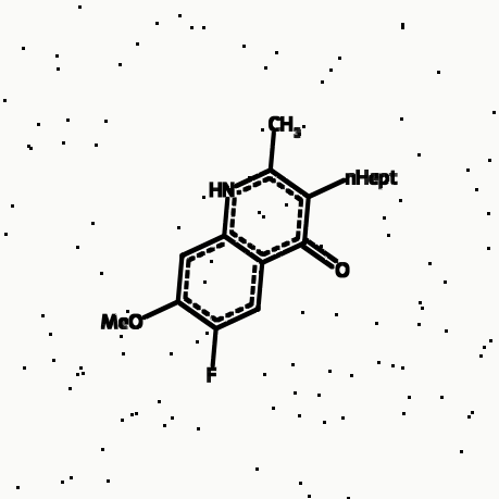 CCCCCCCc1c(C)[nH]c2cc(OC)c(F)cc2c1=O